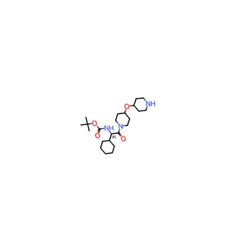 CC(C)(C)OC(=O)N[C@@H](C(=O)N1CCC(OC2CCNCC2)CC1)C1CCCCC1